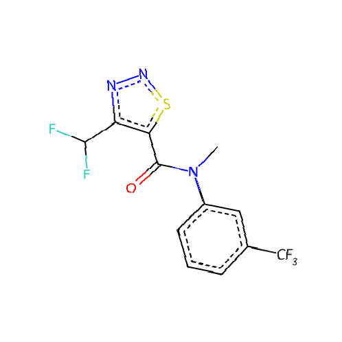 CN(C(=O)c1snnc1C(F)F)c1cccc(C(F)(F)F)c1